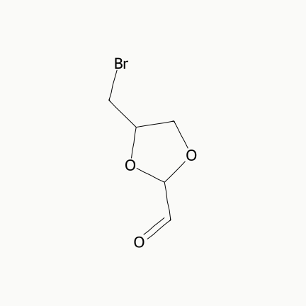 O=CC1OCC(CBr)O1